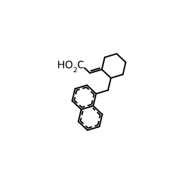 O=C(O)C=C1CCCCC1Cc1cccc2ccccc12